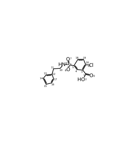 O=C(O)c1cc(S(=O)(=O)NCCc2ccccc2)ccc1Cl